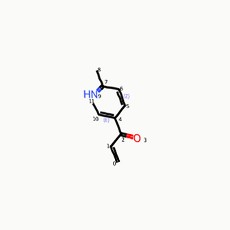 C=CC(=O)C(/C=C\C(C)=N)=C/C